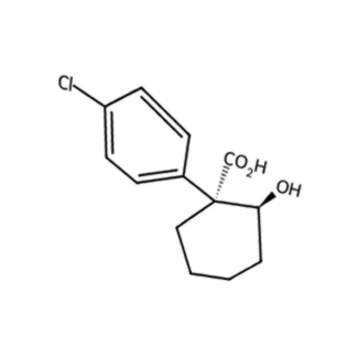 O=C(O)[C@@]1(c2ccc(Cl)cc2)CCCC[C@@H]1O